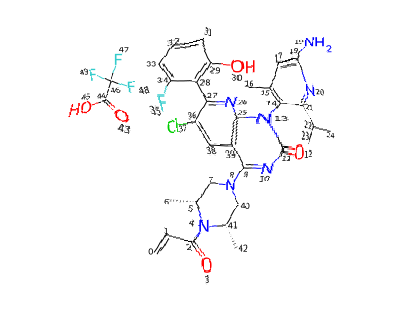 C=CC(=O)N1[C@H](C)CN(c2nc(=O)n(-c3c(C)cc(N)nc3C(C)C)c3nc(-c4c(O)cccc4F)c(Cl)cc23)C[C@@H]1C.O=C(O)C(F)(F)F